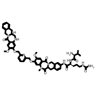 COc1cc2c(cc1OCc1cccc(COc3cc4c(cc3OC)C(=O)N3Cc5cc(NC(=O)[C@H](CCCNC(N)=O)NC(=O)[C@@H](N)C(C)C)ccc5CC3C(=O)N4C)n1)NC[C@@H]1Cc3ccccc3CN1C2=O